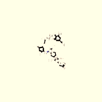 COC(=O)CSc1cc(/N=c2\sc(=O)n3n2CCCC3)c(F)cc1Cl.N#Cc1cc(Br)c(O)c(Br)c1.O=C(O)CNCP(=O)(O)O